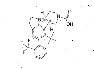 CC(C)(C)c1c(-c2ccccc2C(F)(F)F)cc2c3c1[C@@H]1CN(C(=O)O)CC[C@@H]1N3CC2